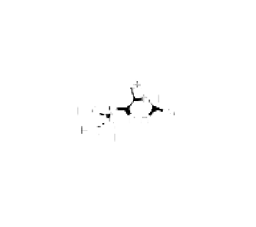 CCC(C)C(NC(=O)C(C)=O)C(=O)O[Si](C)(C)C